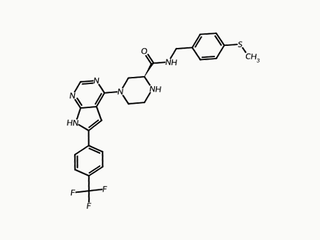 CSc1ccc(CNC(=O)[C@@H]2CN(c3ncnc4[nH]c(-c5ccc(C(F)(F)F)cc5)cc34)CCN2)cc1